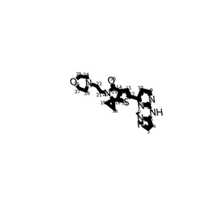 Cn1nccc1Nc1nccc(-c2cc3c(s2)C2(CC2)N(CCN2CCOCC2)C3=O)n1